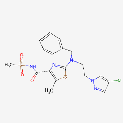 Cc1sc(N(CCn2cc(Cl)cn2)Cc2ccccc2)nc1C(=O)NS(C)(=O)=O